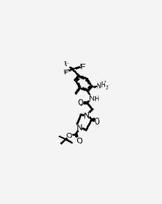 Cc1cc(C(F)(F)F)cc(N)c1NC(=O)CN1CCN(C(=O)OC(C)(C)C)CC1=O